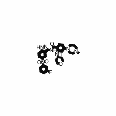 CN1CCCN(c2ccc(C(=O)Nc3n[nH]c4ccc(S(=O)(=O)c5cccc(F)c5)cc34)c(NC3CCOCC3)c2)CC1